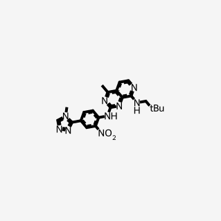 Cc1nc(Nc2ccc(-c3nncn3C)cc2[N+](=O)[O-])nc2c(NCC(C)(C)C)nccc12